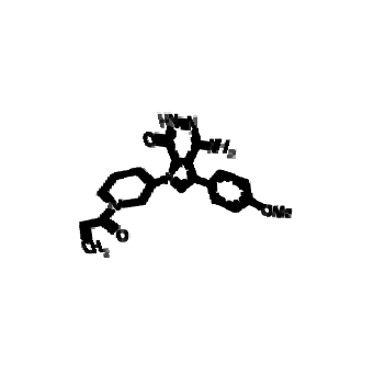 C=CC(=O)N1CCCC(n2cc(-c3ccc(OC)cc3)c3c(N)n[nH]c(=O)c32)C1